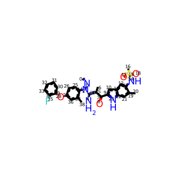 C=NN(/C(N)=C(\C)C(=O)c1cc2cc(NS(C)(=O)=O)c(C)cc2[nH]1)c1ccc(Oc2ccccc2F)cc1C